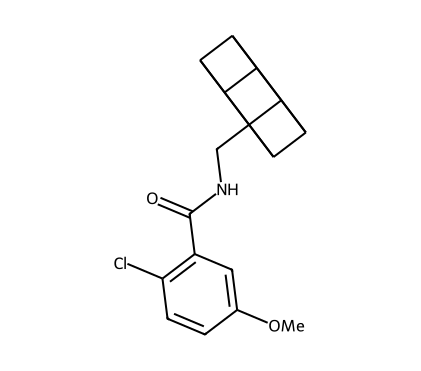 COc1ccc(Cl)c(C(=O)NCC23C4C5C6C4C2C6C53)c1